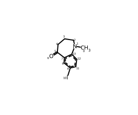 CN1CCCC(=O)c2cc(I)ccc21